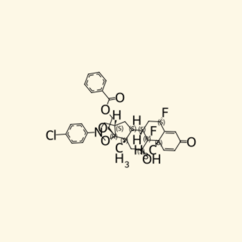 C[C@]12C=CC(=O)C=C1[C@@H](F)C[C@H]1[C@@H]3C[C@H]4CN(c5ccc(Cl)cc5)O[C@@]4(C(=O)COC(=O)c4ccccc4)[C@@]3(C)C[C@H](O)[C@@]12F